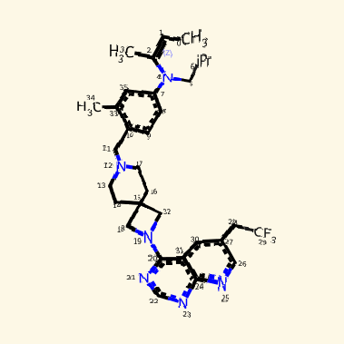 C/C=C(/C)N(CC(C)C)c1ccc(CN2CCC3(CC2)CN(c2ncnc4ncc(CC(F)(F)F)cc24)C3)c(C)c1